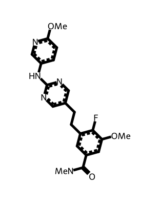 CNC(=O)c1cc(CCc2cnc(Nc3ccc(OC)nc3)nc2)c(F)c(OC)c1